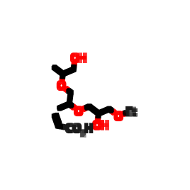 C=CC(=O)O.CCOCC(O)COC(C)COC(C)CO